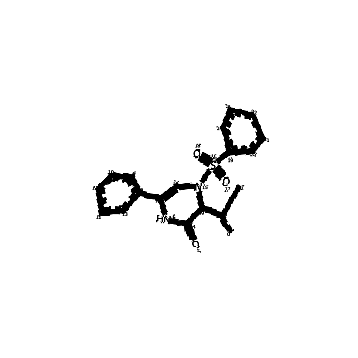 CC(C)C1C(=O)NC(c2ccccc2)=CN1S(=O)(=O)c1ccccc1